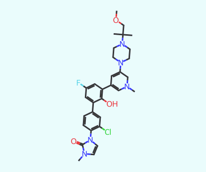 COCC(C)(C)N1CCN(C2=CC(c3cc(F)cc(-c4ccc(-n5ccn(C)c5=O)c(Cl)c4)c3O)=CN(C)C2)CC1